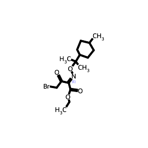 CCOC(=O)/C(=N/OC(C)(C)C1CCC(C)CC1)C(=O)CBr